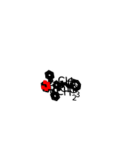 C=C1C(C(C)(C)CCC2OCCCCCO2)CC(P(c2ccccc2)c2ccccc2)[C@H]1P(c1ccccc1)c1ccccc1